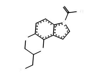 O=C(O)n1ccc2c3c(ccc21)OCC(CO)O3